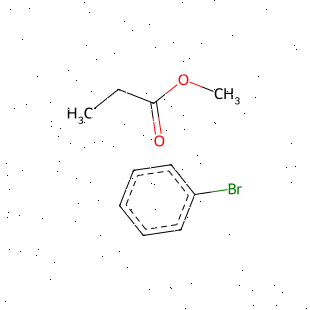 Brc1ccccc1.CCC(=O)OC